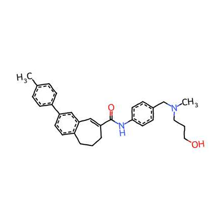 Cc1ccc(-c2ccc3c(c2)C=C(C(=O)Nc2ccc(CN(C)CCCO)cc2)CCC3)cc1